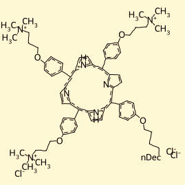 CCCCCCCCCCCCCCOc1ccc(-c2c3nc(c(-c4ccc(OCCC[N+](C)(C)C)cc4)c4ccc([nH]4)c(-c4ccc(OCCC[N+](C)(C)C)cc4)c4nc(c(-c5ccc(OCCC[N+](C)(C)C)cc5)c5ccc2[nH]5)C=C4)C=C3)cc1.[Cl-].[Cl-].[Cl-]